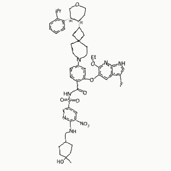 CCOc1nc2[nH]cc(F)c2cc1Oc1cc(N2CCC3(CC2)CC([C@H]2CCOC[C@H]2c2ccccc2C(C)C)C3)ccc1C(=O)NS(=O)(=O)c1cnc(NCC2CCC(C)(O)CC2)c([N+](=O)[O-])c1